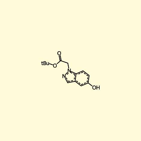 CC(C)(C)OC(=O)Cn1ncc2cc(O)ccc21